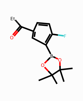 CCC(=O)c1ccc(F)c(B2OC(C)(C)C(C)(C)O2)c1